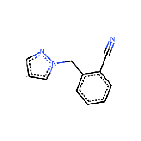 N#Cc1ccccc1Cn1c[c]cn1